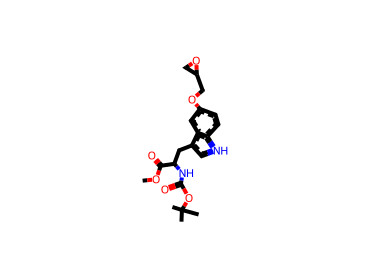 COC(=O)C(Cc1c[nH]c2ccc(OCC3CO3)cc12)NC(=O)OC(C)(C)C